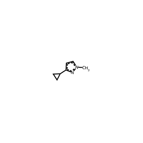 Cn1ccc(C2CC2)n1